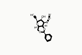 C#C[C@@H]1O[C@@H]2CO[C@H](c3ccccc3)O[C@@H]2[C@H](N=[N+]=[N-])[C@H]1O